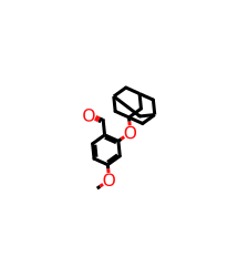 COc1ccc(C=O)c(OC23CC4CC(CC(C4)C2)C3)c1